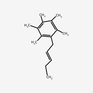 [CH2]CC=CCc1c(C)c(C)c(C)c(C)c1C